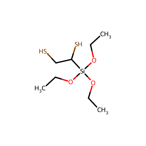 CCO[Si](OCC)(OCC)C(S)CS